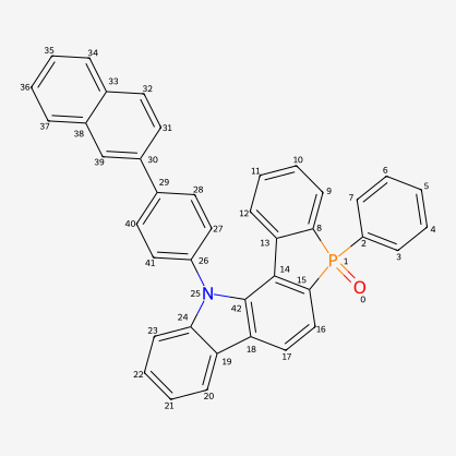 O=P1(c2ccccc2)c2ccccc2-c2c1ccc1c3ccccc3n(-c3ccc(-c4ccc5ccccc5c4)cc3)c21